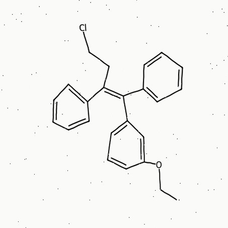 [CH2]COc1cccc(C(=C(CCCl)c2ccccc2)c2ccccc2)c1